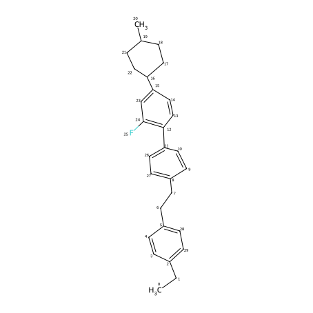 CCc1ccc(CCc2ccc(-c3ccc(C4CCC(C)CC4)cc3F)cc2)cc1